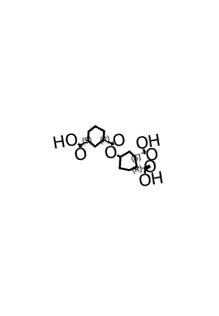 O=C(O)[C@H]1CCC[C@@H](C(=O)OC2CC[C@@H](C(=O)O)[C@@H](C(=O)O)C2)C1